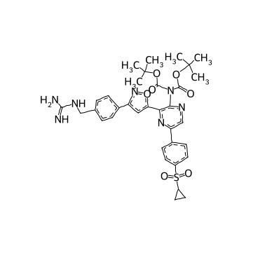 CC(C)(C)OC(=O)N(C(=O)OC(C)(C)C)c1ncc(-c2ccc(S(=O)(=O)C3CC3)cc2)nc1-c1cc(-c2ccc(CNC(=N)N)cc2)no1